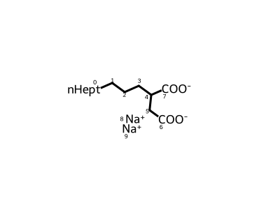 CCCCCCCCCCC(CC(=O)[O-])C(=O)[O-].[Na+].[Na+]